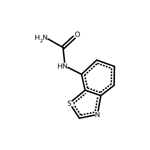 NC(=O)Nc1cccc2ncsc12